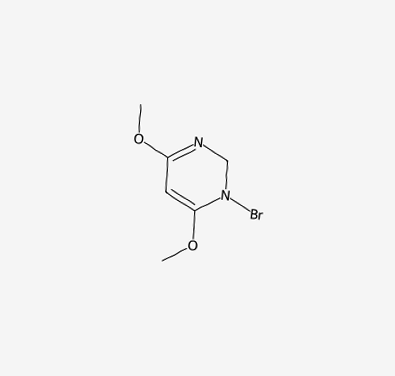 COC1=CC(OC)=NCN1Br